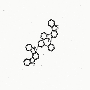 c1cc(-c2ccccc2-n2c3ccccc3c3c4c(ccc32)sc2ccccc24)cc(-n2c3ccccc3c3c4c(ccc32)sc2ccccc24)c1